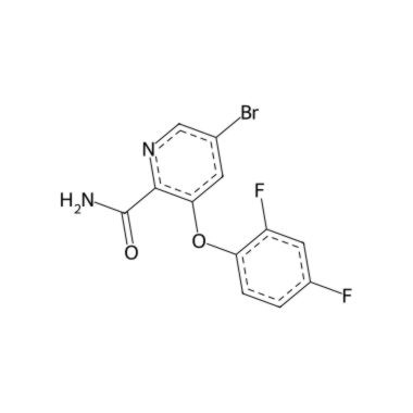 NC(=O)c1ncc(Br)cc1Oc1ccc(F)cc1F